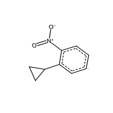 O=[N+]([O-])c1cc[c]cc1C1CC1